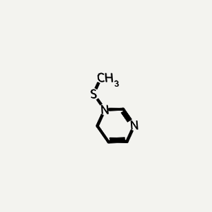 CSN1C=NC=CC1